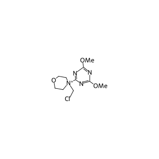 COc1nc(OC)nc([N+]2(CCl)CCOCC2)n1